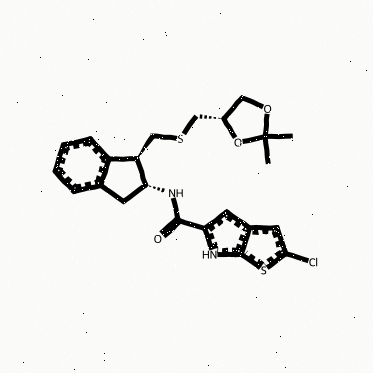 CC1(C)OC[C@@H](CSC[C@@H]2c3ccccc3C[C@H]2NC(=O)c2cc3cc(Cl)sc3[nH]2)O1